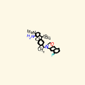 CNc1ccc(C(c2ccc(C)c(CN3CCOc4cc5cccc(F)c5cc4C3)c2)C(C)(C)C)c(C)c1N